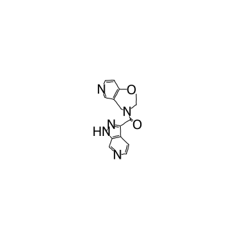 O=C(c1n[nH]c2cnccc12)N1CCOc2ccncc2C1